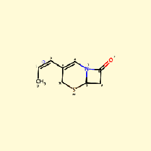 C/C=C\C1=CN2C(=O)CC2SC1